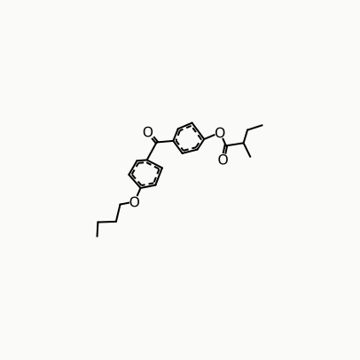 CCCCOc1ccc(C(=O)c2ccc(OC(=O)C(C)CC)cc2)cc1